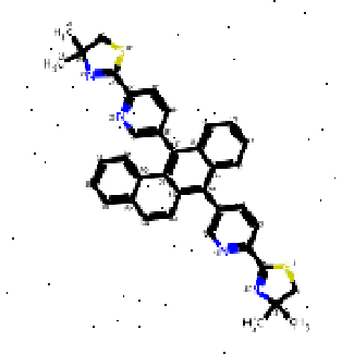 CC1(C)CSC(c2ccc(-c3c4ccccc4c(-c4ccc(C5=NC(C)(C)CS5)nc4)c4c3ccc3ccccc34)cn2)=N1